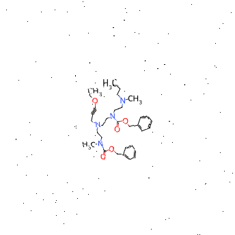 CCCN(C)CCN(CCN(CC#COCC)CCN(C)C(=O)OCc1ccccc1)C(=O)OCc1ccccc1